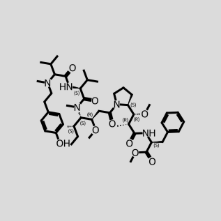 CC[C@H](C)[C@@H]([C@@H](CC(=O)N1CCC[C@H]1[C@H](OC)[C@@H](C)C(=O)N[C@@H](Cc1ccccc1)C(=O)OC)OC)N(C)C(=O)[C@@H](NC(=O)C(C(C)C)N(C)CCc1ccc(O)cc1)C(C)C